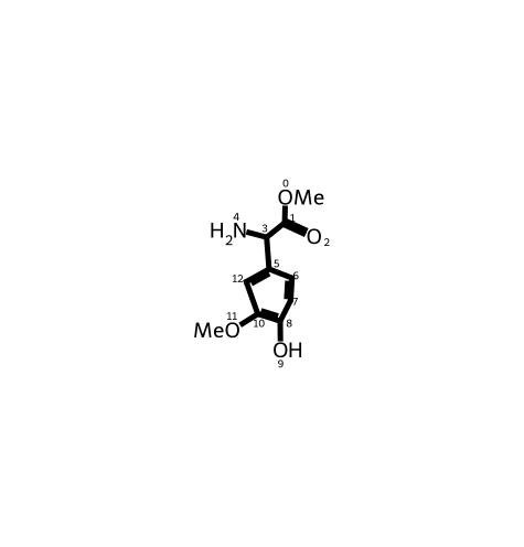 COC(=O)C(N)c1ccc(O)c(OC)c1